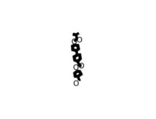 C=C(C)C(=O)Oc1ccc(-c2ccc(C(=O)Oc3ccc(C=O)cc3)cc2)cc1